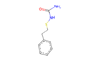 NC(=O)NSCCc1ccccc1